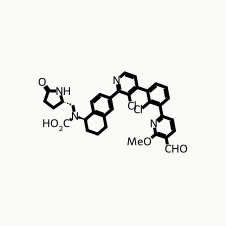 COc1nc(-c2cccc(-c3ccnc(-c4ccc5c(c4)CCC[C@H]5N(C[C@@H]4CCC(=O)N4)C(=O)O)c3Cl)c2Cl)ccc1C=O